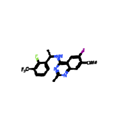 COc1cc2nc(C)nc(N[C@H](C)c3cccc(C(F)(F)F)c3F)c2cc1I